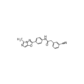 Cc1ncc2oc(-c3ccc(NC(=O)Cc4cccc(C#N)c4)cc3)nn12